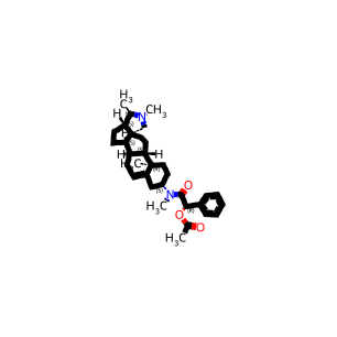 CC(=O)O[C@@H](C(=O)N(C)[C@H]1CC[C@@]2(C)C(=CC[C@H]3[C@@H]4CC[C@@H]5[C@H](C)N(C)C[C@@]54CC[C@@H]32)C1)c1ccccc1